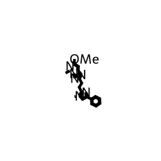 COc1cc2nc(CCc3nc(-c4ccccc4)cn3C)nn2c(C)n1